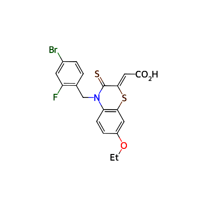 CCOc1ccc2c(c1)S/C(=C\C(=O)O)C(=S)N2Cc1ccc(Br)cc1F